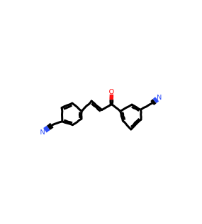 N#Cc1ccc(C=CC(=O)c2cccc(C#N)c2)cc1